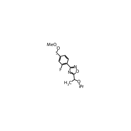 COOSc1ccc(-c2noc(C(C)OC(C)C)n2)c(F)c1